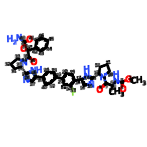 COC(=O)N[C@@H](C)C(=O)N1CCC[C@H]1c1ncc(-c2ccc(-c3ccc(-c4cnc([C@@H]5CCCN5C(=O)[C@H](OC(N)=O)c5ccccc5)[nH]4)cc3)cc2F)[nH]1